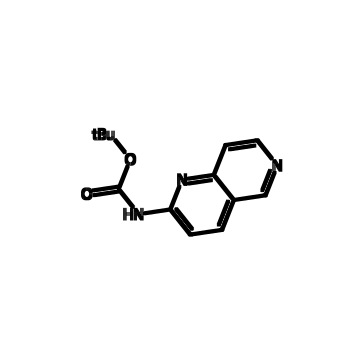 CC(C)(C)OC(=O)Nc1ccc2cnccc2n1